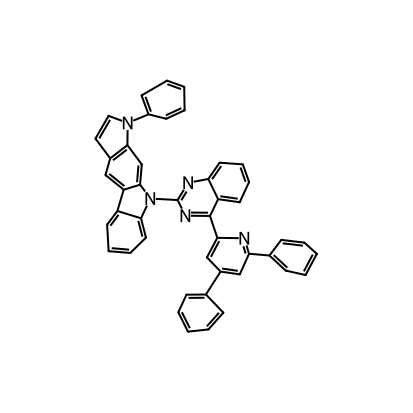 c1ccc(-c2cc(-c3ccccc3)nc(-c3nc(-n4c5ccccc5c5cc6ccn(-c7ccccc7)c6cc54)nc4ccccc34)c2)cc1